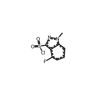 Cn1nc(S(=O)(=O)Cl)c2c(F)cccc21